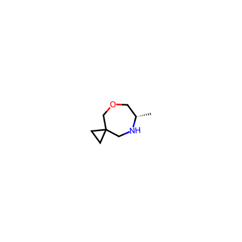 C[C@H]1COCC2(CC2)CN1